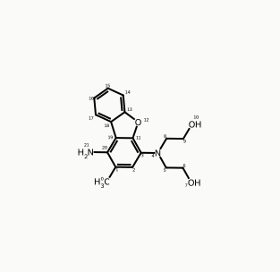 Cc1cc(N(CCO)CCO)c2oc3ccccc3c2c1N